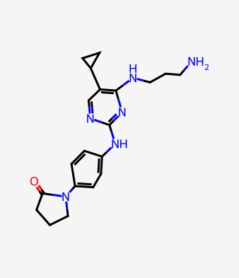 NCCCNc1nc(Nc2ccc(N3CCCC3=O)cc2)ncc1C1CC1